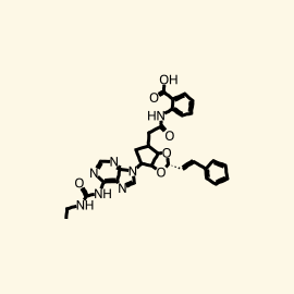 CCNC(=O)Nc1ncnc2c1ncn2C1CC(CC(=O)Nc2ccccc2C(=O)O)C2O[C@H](/C=C/c3ccccc3)OC21